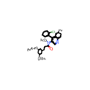 COc1cc(C=CC(=O)N(OC(C)=O)c2cnc3ccc(C(C)C)cc3c2-c2ccccc2Cl)cc(OC)c1